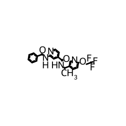 CC(NC(=O)c1ccnc(NC(=O)c2ccccc2)c1)c1ccc(OCC(F)(F)F)nc1